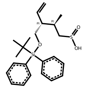 C=C[C@@H](CO[Si](c1ccccc1)(c1ccccc1)C(C)(C)C)[C@@H](C)CS(=O)O